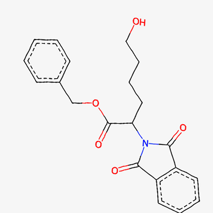 O=C(OCc1ccccc1)C(CCCCO)N1C(=O)c2ccccc2C1=O